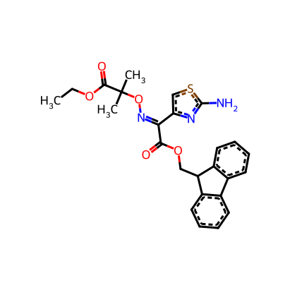 CCOC(=O)C(C)(C)O/N=C(/C(=O)OCC1c2ccccc2-c2ccccc21)c1csc(N)n1